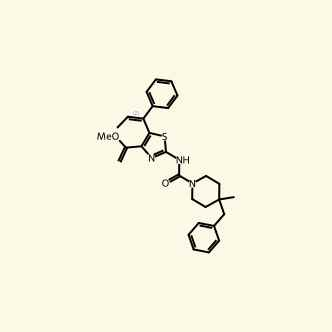 C=C(OC)c1nc(NC(=O)N2CCC(C)(Cc3ccccc3)CC2)sc1/C(=C\C)c1ccccc1